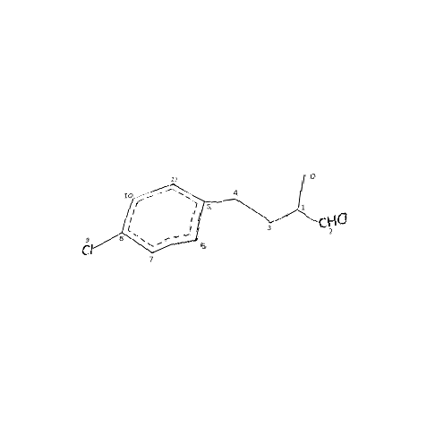 CC(C=O)CCc1ccc(Cl)cc1